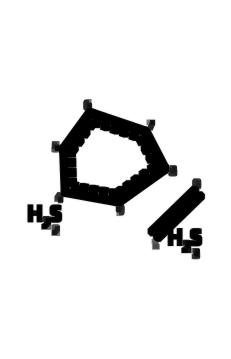 C=C.S.S.c1ccccc1